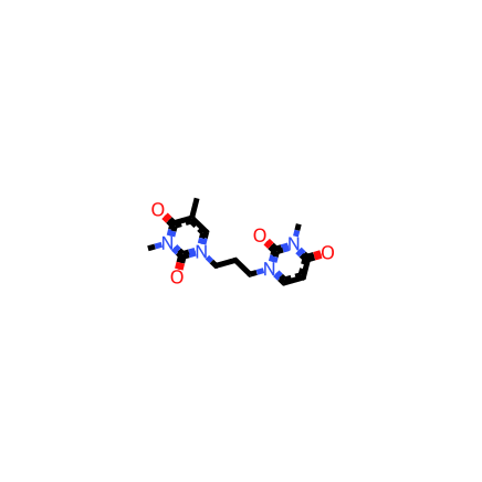 Cc1cn(CCCn2ccc(=O)n(C)c2=O)c(=O)n(C)c1=O